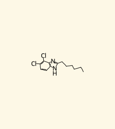 CCCCCCc1nc2c(Cl)c(Cl)ccc2[nH]1